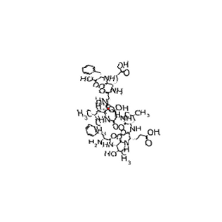 CC(C)C[C@H](NC(=O)[C@H](CCC(=O)O)NC(=O)[C@@H](NC(=O)[C@@H](N)Cc1ccccc1)[C@@H](C)O)C(=O)N[C@H](C(=O)N[C@@H](CC(C)C)C(=O)NCC(=O)N[C@@H](CCC(=O)O)C(=O)N[C@@H](Cc1ccccc1)C(=O)O)[C@@H](C)O